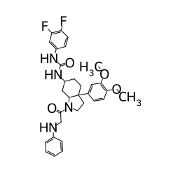 COc1ccc(C23CCC(NC(=O)Nc4ccc(F)c(F)c4)CC2N(C(=O)CNc2ccccc2)CC3)cc1OC